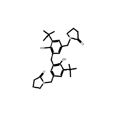 CC(C)(C)c1cc(CN2CCCC2=O)cc(Cc2cc(CN3CCCC3=O)cc(C(C)(C)C)c2O)c1O